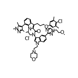 COCCn1cnc(-c2ccc3c(c2)c(N2C(=O)c4c(CCCOc5cc(C)c(Cl)c(C)c5)c5cccc(-c6c(C)nn(C)c6C)c5n4C(C)[C@H]2Cl)cn3CCN2CCOCC2)n1